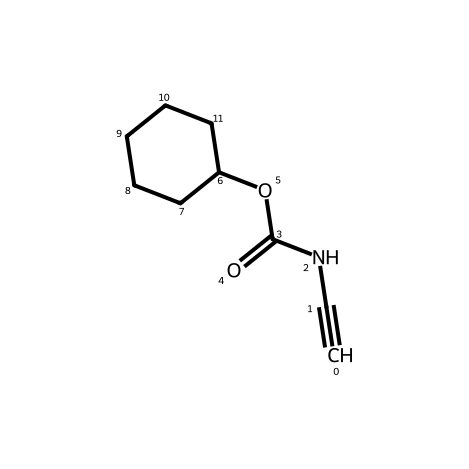 C#CNC(=O)OC1CCCCC1